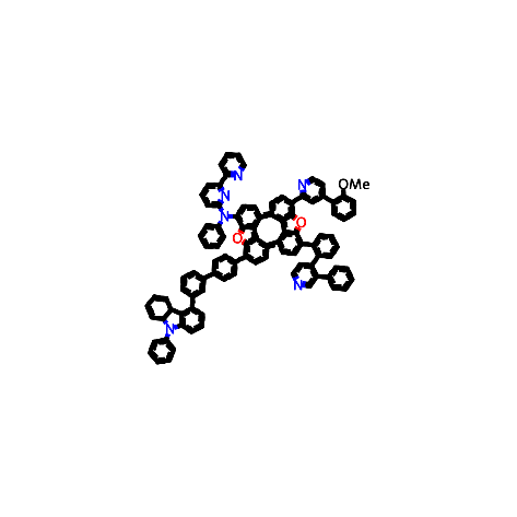 COc1ccccc1-c1ccnc(-c2ccc3c4ccc(N(c5ccccc5)c5cccc(-c6ccccn6)n5)c5oc6c(-c7ccc(-c8cccc(-c9cccc%10c9C9C=CC=CC9N%10c9ccccc9)c8)cc7)ccc(c7ccc(-c8ccccc8-c8ccncc8-c8ccccc8)c8oc2c3c87)c6c54)c1